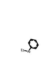 C[CH2][Al][c]1ccccc1